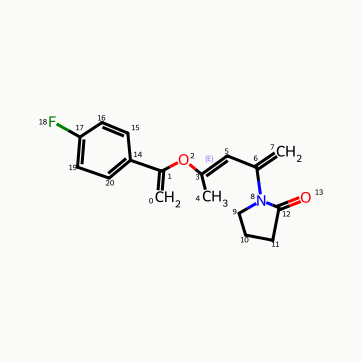 C=C(O/C(C)=C/C(=C)N1CCCC1=O)c1ccc(F)cc1